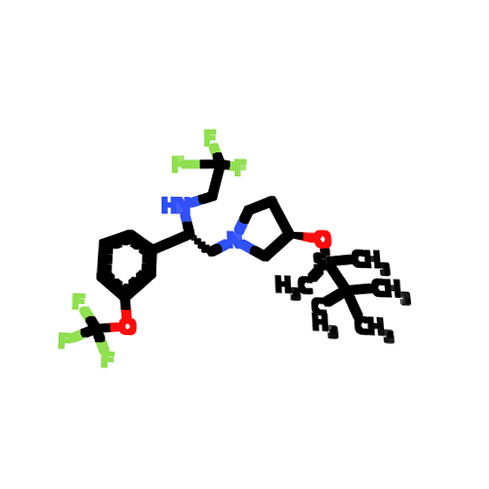 CC(C)(C)[Si](C)(C)O[C@@H]1CCN(C[C@@H](NCC(F)(F)F)c2cccc(OC(F)(F)F)c2)C1